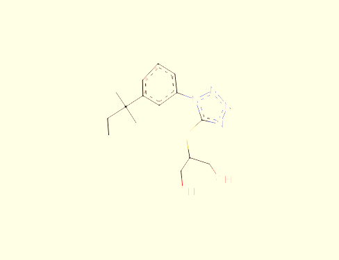 CCC(C)(C)c1cccc(-n2nnnc2SC(CO)CO)c1